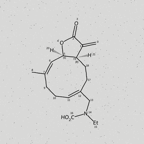 C=C1C(=O)O[C@@H]2C=C(C)CCC=C(CN(CC)C(=O)O)CC[C@H]12